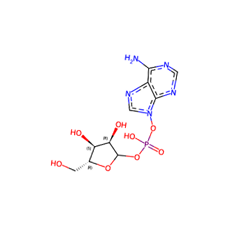 Nc1ncnc2c1ncn2OP(=O)(O)OC1O[C@H](CO)[C@@H](O)[C@H]1O